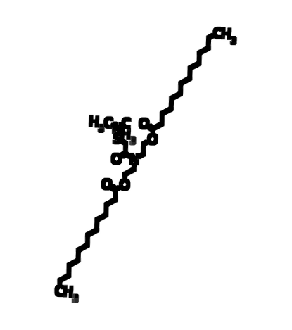 CCCCCCCCCCCCCC(=O)OCCN(CCOC(=O)CCCCCCCCCCCCC)C(=O)CSN(C)C